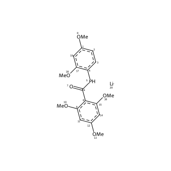 COc1ccc(PC(=O)c2c(OC)cc(OC)cc2OC)c(OC)c1.[Li]